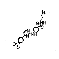 CN(C)CCCNS(=O)(=O)c1ccc(Nc2nccc(-c3ccc([N+](=O)[O-])cc3)n2)cc1